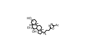 CC[C@H]1[C@@H](O)C2C3CCC([C@H](C)CCc4nnc(C(C)=O)o4)[C@@]3(C)CCC2[C@@]2(C)CC[C@@H](O)C[C@@H]12